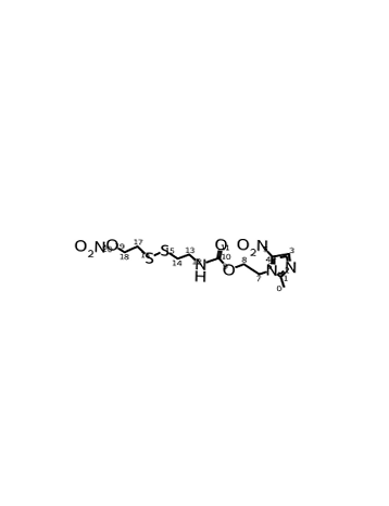 Cc1ncc([N+](=O)[O-])n1CCOC(=O)NCCSSCCO[N+](=O)[O-]